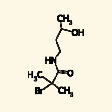 CC(O)CCNC(=O)C(C)(C)Br